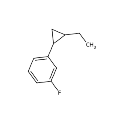 CCC1CC1c1cccc(F)c1